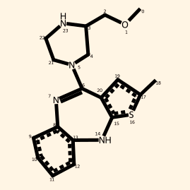 COCC1CN(C2=Nc3ccccc3Nc3sc(C)cc32)CCN1